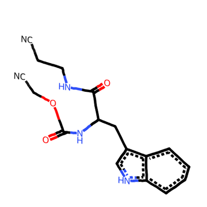 N#CCCNC(=O)C(Cc1c[nH]c2ccccc12)NC(=O)OCC#N